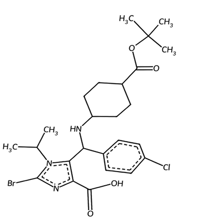 CC(C)n1c(Br)nc(C(=O)O)c1C(NC1CCC(C(=O)OC(C)(C)C)CC1)c1ccc(Cl)cc1